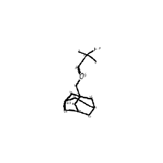 CC(C)(F)COCC12CC3CC(CC(C3)C1)C2